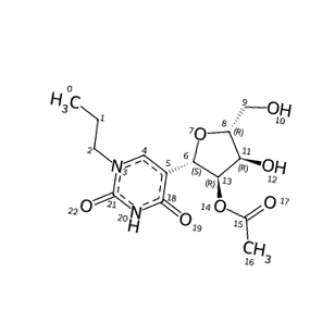 CCCn1cc([C@@H]2O[C@H](CO)[C@@H](O)[C@H]2OC(C)=O)c(=O)[nH]c1=O